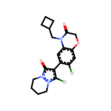 O=C1COc2cc(Cl)c(-c3c(Cl)n4n(c3=O)CCCC4)cc2N1CC1CCC1